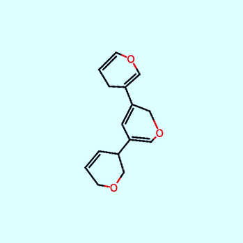 C1=CC(C2=COCC(C3=COC=CC3)=C2)COC1